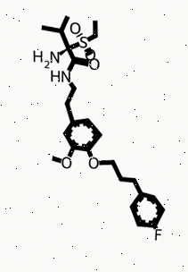 CCS(=O)(=O)[C@](N)(C(=O)NCCc1ccc(OCCCc2ccc(F)cc2)c(OC)c1)C(C)C